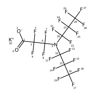 O=C([O-])C(F)(F)C(F)(F)N(C(F)(F)C(F)(F)C(F)(F)F)C(F)(F)C(F)(F)C(F)(F)F.[K+]